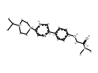 CC(C)N1CCN(c2cnc(-c3ccc(OCC(=O)N(C)C)cc3)cn2)CC1